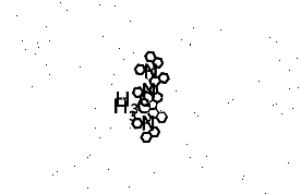 CC1(C)C2=C(c3ccc4c5c6ccccc6c(N(c6ccccc6)c6cccc7ccccc67)cc5n(-c5ccccc5)c4c31)C1CC=CC=C1C(N(c1ccccc1)c1cccc3ccccc13)=C2